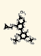 [2H]C([2H])([2H])Oc1cc(OC([2H])([2H])[2H])c(F)c(-c2cc3cnc(SC)nc3c(NCC3CC3)n2)c1F